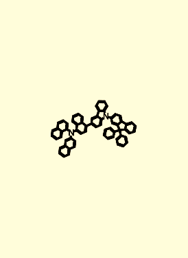 c1ccc(C2(c3ccccc3)c3ccccc3-c3ccc(-n4c5ccccc5c5cc(-c6ccc(N(c7ccc8ccccc8c7)c7cccc8ccccc78)c7ccccc67)ccc54)cc32)cc1